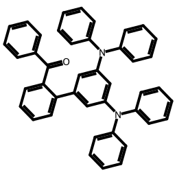 O=C(c1ccccc1)c1ccccc1-c1cc(N(c2ccccc2)c2ccccc2)cc(N(c2ccccc2)c2ccccc2)c1